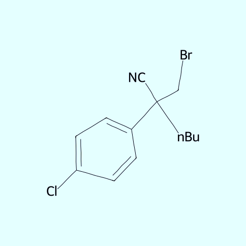 CCCCC(C#N)(CBr)c1ccc(Cl)cc1